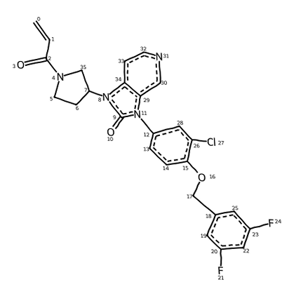 C=CC(=O)N1CCC(n2c(=O)n(-c3ccc(OCc4cc(F)cc(F)c4)c(Cl)c3)c3cnccc32)C1